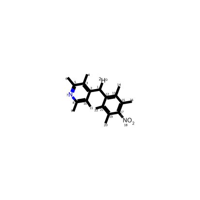 [2H]C(c1c(C)c(C)nc(C)c1C)c1c(C)c(C)c([N+](=O)[O-])c(C)c1C